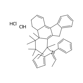 C[CH]=[Zr]([C]1=CC=CC1)([c]1ccccc1)[C]1(C)C2=C3Cc4ccccc4C3=C3C=CCCC3C2(C)C(C)(C)C(C)(C)C1(C)C.Cl.Cl